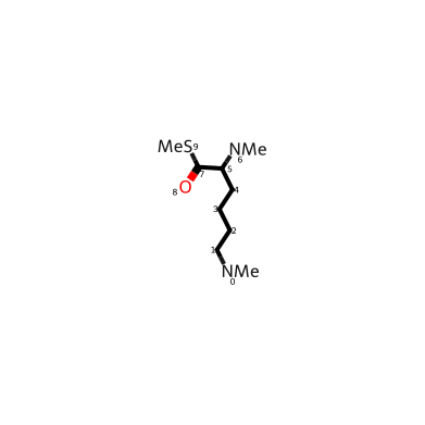 CNCCCCC(NC)C(=O)SC